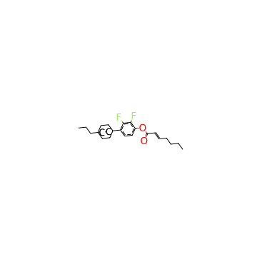 CCCC/C=C/C(=O)Oc1ccc(C23CCC(CCC)(CC2)CC3)c(F)c1F